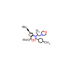 COC(=O)c1sc(C#CC(C)(C)C)cc1N(C(=O)C1CCC(C)CC1)C(C)CN1CCOCC1